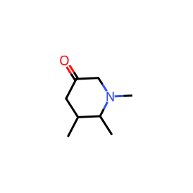 CC1CC(=O)CN(C)C1C